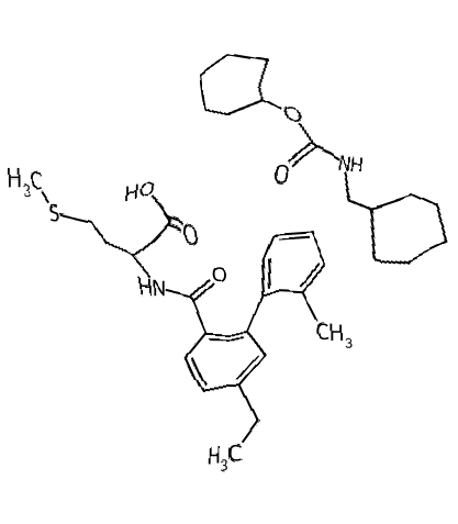 CCc1ccc(C(=O)NC(CCSC)C(=O)O)c(-c2ccccc2C)c1.O=C(NCC1CCCCC1)OC1CCCCC1